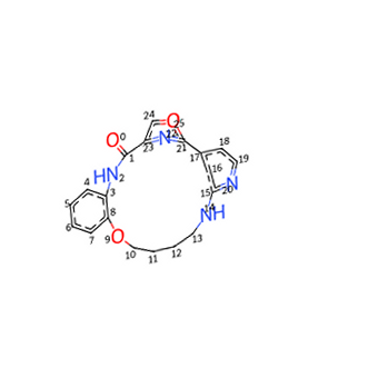 O=C1Nc2ccccc2OCCCCNc2cc(ccn2)-c2nc1co2